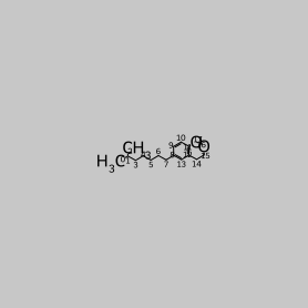 CC(C)CCCCCc1ccc2c(c1)CCOO2